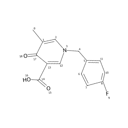 Cc1cn(Cc2ccc(F)cc2)cc(C(=O)O)c1=O